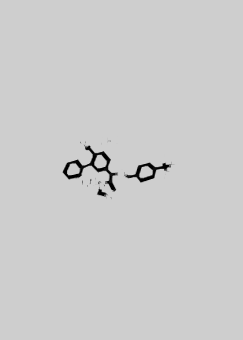 Cc1ccccc1-c1cc(C(OCc2ccc(C(F)(F)F)cc2)c2cncn2C)ccc1C#N.Cl